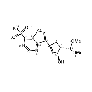 COC(OC)[C@H]1CC(c2csc3c(S(=O)(=O)C(C)(C)C)ncnc23)=C[C@@H]1O